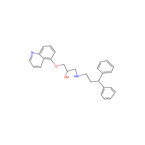 OC(CNCCC(c1ccccc1)c1ccccc1)COc1cccc2ncccc12